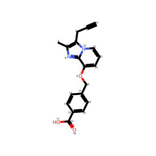 C#CCc1c(C)nc2c(OCc3ccc(C(=O)O)cc3)cccn12